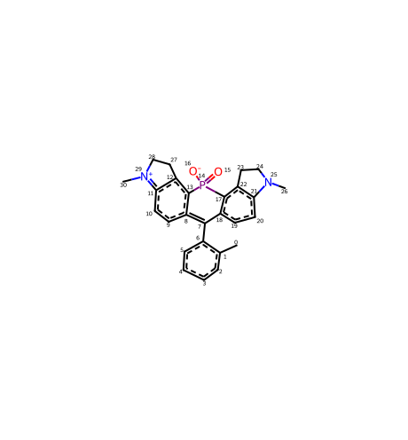 Cc1ccccc1C1=c2ccc3c(c2P(=O)([O-])c2c1ccc1c2CCN1C)CC[N+]=3C